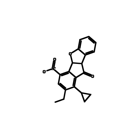 CCc1cc([N+](=O)[O-])c2c(c1C1CC1)C(=O)C1c3ccccc3OC21